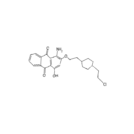 Nc1c(OCCC2CCC(CCCl)CC2)cc(O)c2c1C(=O)c1ccccc1C2=O